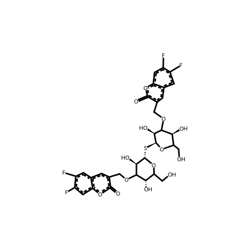 O=c1oc2cc(F)c(F)cc2cc1COC1[C@@H](O)C(CO)O[C@@H](S[C@@H]2OC(CO)[C@H](O)C(OCc3cc4cc(F)c(F)cc4oc3=O)[C@@H]2O)[C@@H]1O